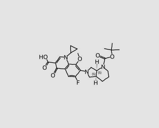 COc1c(N2C[C@@H]3CCCN(C(=O)OC(C)(C)C)[C@@H]3C2)c(F)cc2c(=O)c(C(=O)O)cn(C3CC3)c12